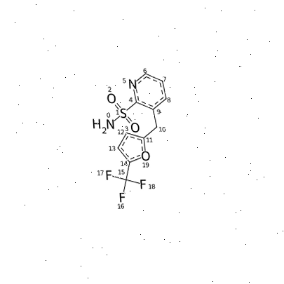 NS(=O)(=O)c1ncccc1Cc1ccc(C(F)(F)F)o1